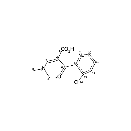 CN(C)/C=C(/C(=O)O)C(=O)c1ncccc1Cl